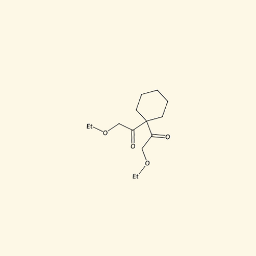 CCOCC(=O)C1(C(=O)COCC)CCCCC1